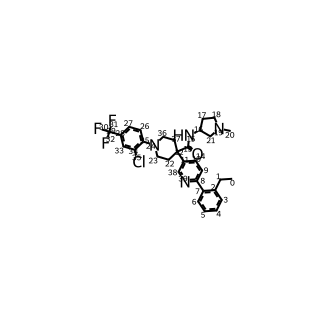 CCc1ccccc1-c1ccc(C2(C(=O)N[C@H]3CCN(C)C3)CCN(c3ccc(C(F)(F)F)cc3Cl)CC2)cn1